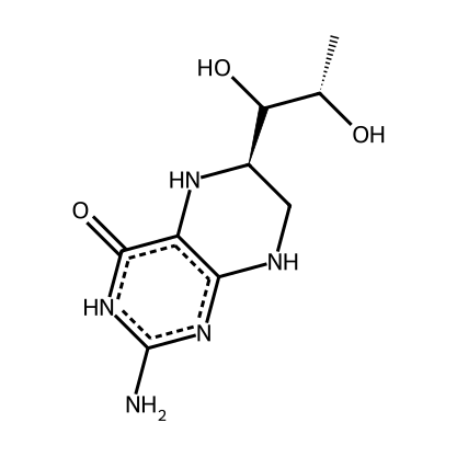 C[C@H](O)C(O)[C@H]1CNc2nc(N)[nH]c(=O)c2N1